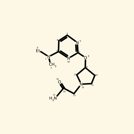 CCN(C)c1ccnc(OC2CCN(CC(N)=O)C2)n1